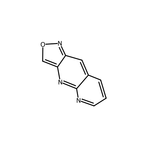 c1cnc2nc3conc3cc2c1